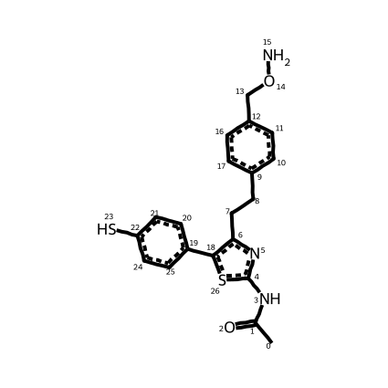 CC(=O)Nc1nc(CCc2ccc(CON)cc2)c(-c2ccc(S)cc2)s1